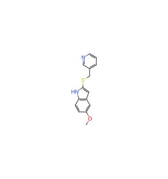 COc1ccc2[nH]c(SCc3cccnc3)cc2c1